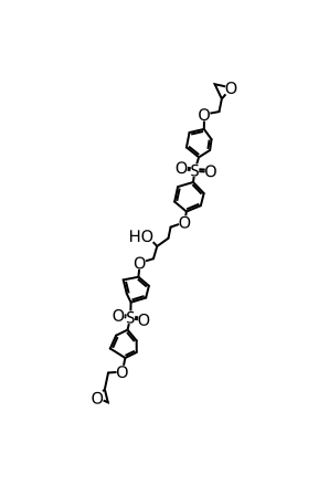 O=S(=O)(c1ccc(OCCC(O)COc2ccc(S(=O)(=O)c3ccc(OCC4CO4)cc3)cc2)cc1)c1ccc(OCC2CO2)cc1